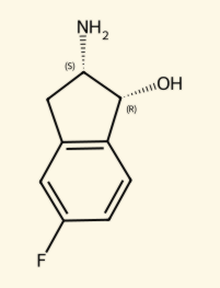 N[C@H]1Cc2cc(F)ccc2[C@H]1O